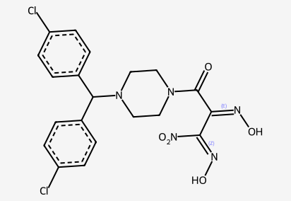 O=C(C(=N/O)/C(=N/O)[N+](=O)[O-])N1CCN(C(c2ccc(Cl)cc2)c2ccc(Cl)cc2)CC1